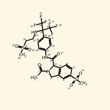 CC(=O)N1Cc2cc(S(C)(=O)=O)ccc2C1C(=O)Nc1ccc(C(NCCS(C)(=O)=O)(C(F)(F)F)C(F)(F)F)cc1